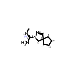 C/N=C(/N)N1CC2(C=N1)CCCC2